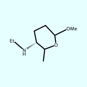 CCN[C@@H]1CCC(OC)OC1C